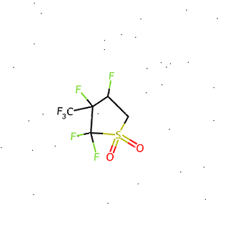 O=S1(=O)CC(F)C(F)(C(F)(F)F)C1(F)F